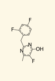 Cc1nc(Cc2ccc(F)cc2F)nc(O)c1F